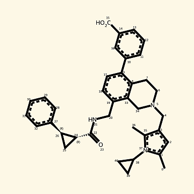 Cc1cc(CN2CCc3c(-c4cccc(C(=O)O)c4)ccc(CNC(=O)[C@@H]4C[C@H]4c4ccccc4)c3C2)c(C)n1C1CC1